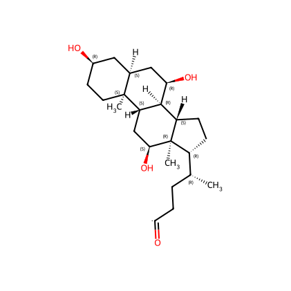 C[C@H](CC[C]=O)[C@H]1CC[C@H]2[C@@H]3[C@H](O)C[C@@H]4C[C@H](O)CC[C@]4(C)[C@H]3C[C@H](O)[C@]12C